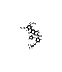 CCN(CC)CCOc1ccc(Nc2nnc3cc(-c4cc(OC)cc(OC)c4Cl)c(=O)n(C4CCCC4)c3n2)cc1